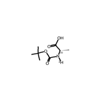 [2H]N(C(=O)OC(C)(C)C)[C@@H](C)C(=O)O